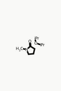 CC(C)OC(C)C.CN1CCCC1=O